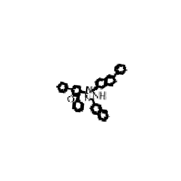 c1ccc(-c2ccc3cc(C4=NC(c5ccc(-c6ccccc6)c6oc7ccccc7c56)=NC(c5ccc6ccccc6c5)N4)ccc3c2)cc1